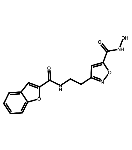 O=C(NO)c1cc(CCNC(=O)c2cc3ccccc3o2)no1